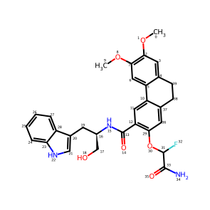 COc1cc2c(cc1OC)-c1cc(C(=O)N[C@@H](CO)Cc3c[nH]c4ccccc34)c(OC(F)C(N)=O)cc1CC2